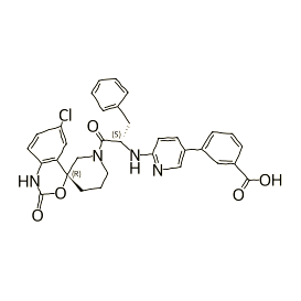 O=C1Nc2ccc(Cl)cc2[C@@]2(CCCN(C(=O)[C@H](Cc3ccccc3)Nc3ccc(-c4cccc(C(=O)O)c4)cn3)C2)O1